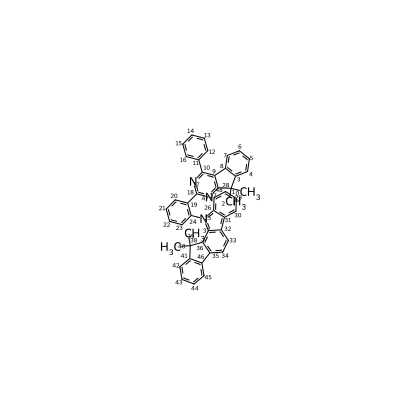 CC1(C)c2ccccc2-c2c(-c3ccccc3)nc(-c3ccccc3-n3c4ccccc4c4ccc5c(c43)C(C)(C)c3ccccc3-5)nc21